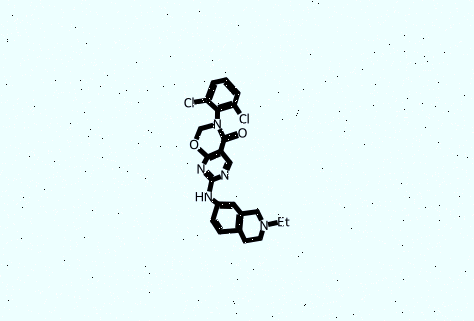 CCN1CCc2ccc(Nc3ncc4c(n3)OCN(c3c(Cl)cccc3Cl)C4=O)cc2C1